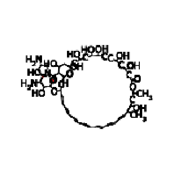 C[C@H]1CC(O)[C@@H](C)/C=C/C=C/C=C/C=C/C=C/C=C/C=C/C(O[C@@H]2OCC(O)[C@H](N)[C@@H]2O)C[C@@H]2OC(O)(CC(O)CC(O)C(O)CCC(O)CC(O)CC(=O)O1)C[C@H](O)C2C(=O)N1CC[C@H](N)C1